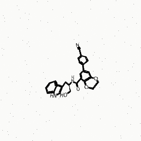 N#Cc1ccc(-c2cc3c(c(C(=O)N[C@@H](CO)Cc4c[nH]c5ccccc45)c2)OCCO3)cc1